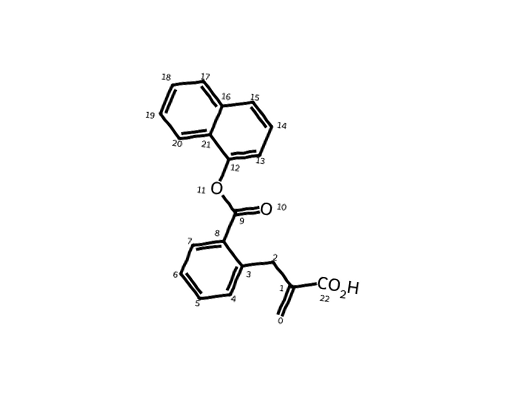 C=C(Cc1ccccc1C(=O)Oc1cccc2ccccc12)C(=O)O